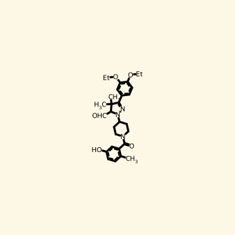 CCOc1ccc(C2=NN(C3CCN(C(=O)c4cc(O)ccc4C)CC3)C(C=O)C2(C)C)cc1OCC